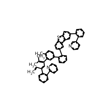 C=C/C(=C\C(=C(C)C)c1cc(-c2ccccc2-c2ccc3sc4ccc(-c5ccccc5-c5cccnc5)cc4c3c2)ccc1C)c1ccccc1-c1ccccn1